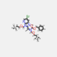 C[C@@H](c1nc2cc(Br)cnc2n1COCC[Si](C)(C)C)N(COCC[Si](C)(C)C)C(=O)OCc1ccccc1